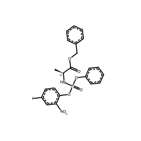 C[C@H](NP(=O)(Oc1ccccc1)Oc1ccc(I)cc1[N+](=O)[O-])C(=O)OCc1ccccc1